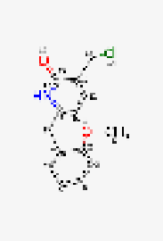 COc1ccccc1Cc1ccc(CCl)c(=O)[nH]1